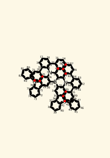 Clc1cc2c3c(c1)N(c1c(-c4ccccc4)cccc1-c1ccccc1)c1cc4c(cc1B3c1cc3c5ccccc5n(-c5ccccc5)c3cc1N2c1c(-c2ccccc2)cccc1-c1ccccc1)c1ccccc1n4-c1ccccc1